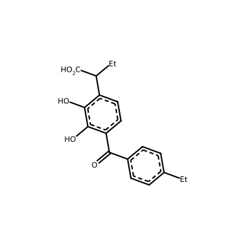 CCc1ccc(C(=O)c2ccc(C(CC)C(=O)O)c(O)c2O)cc1